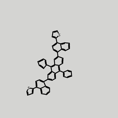 c1ccc(-c2c3ccc(-c4ccc(-c5cccs5)c5ccccc45)cc3c(-c3ccccc3)c3cc(-c4ccc(-c5cccs5)c5ccccc45)ccc23)cc1